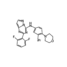 CC(C)c1cc(Nc2nc(-c3c(F)cccc3F)nc3ccnn23)ccc1N1CCOCC1